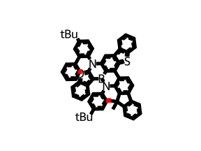 CC(C)(C)c1ccc(N2B3c4c(cc5c(sc6ccccc65)c4-c4ccc5c(c42)C(C)(C)c2ccccc2-5)N(c2ccc(C(C)(C)C)cc2-c2ccccc2)c2oc4ccccc4c23)cc1